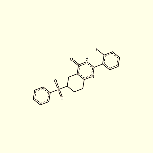 O=c1[nH]c(-c2ccccc2F)nc2c1CC(S(=O)(=O)c1ccccc1)CC2